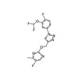 Cc1nc(OCc2cn(-c3ccc(F)c(OC(F)F)c3)nn2)ncc1F